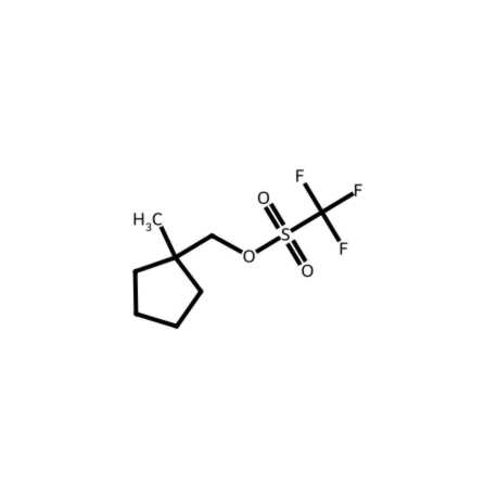 CC1(COS(=O)(=O)C(F)(F)F)CCCC1